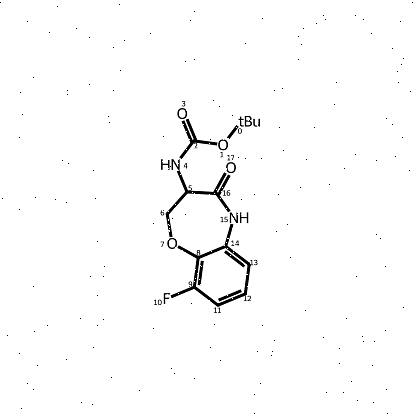 CC(C)(C)OC(=O)NC1COc2c(F)cccc2NC1=O